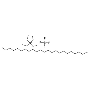 CC[N+](CC)(CC)CC.F[B-](F)(F)F.[CH2]CCCCCCCCCCCCCCCCCCCCCC